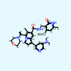 C=C(c1c(C)c(C(=O)NCc2c(OC)cc(C)[nH]c2=O)cc2c(-c3cncc(N(C)C)c3)ccn12)N1CCOCC1